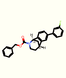 O=C(OCc1ccccc1)N1CC[C@@H]2C[C@@H]1c1ccc(-c3cccc(F)c3)cc12